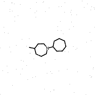 CC1CCCN(C2CCCCCC2)CC1